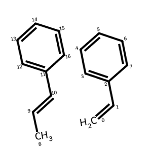 C=Cc1ccccc1.CC=Cc1ccccc1